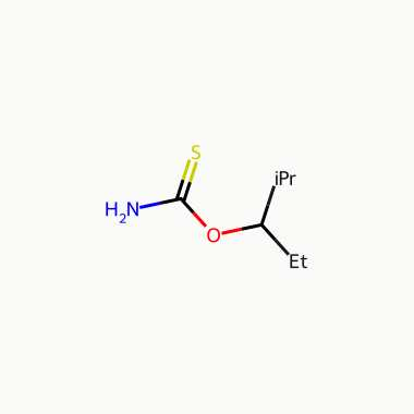 CCC(OC(N)=S)C(C)C